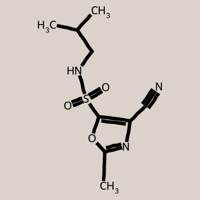 Cc1nc(C#N)c(S(=O)(=O)NCC(C)C)o1